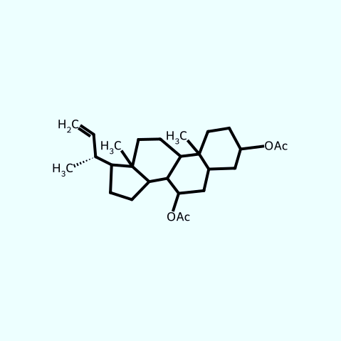 C=C[C@@H](C)C1CCC2C3C(OC(C)=O)CC4CC(OC(C)=O)CCC4(C)C3CCC21C